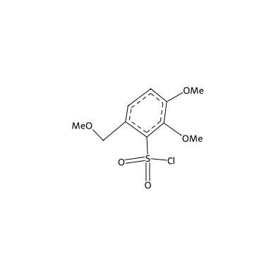 COCc1ccc(OC)c(OC)c1S(=O)(=O)Cl